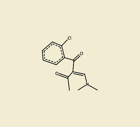 CC(=O)/C(=C\N(C)C)C(=O)c1ccccc1Cl